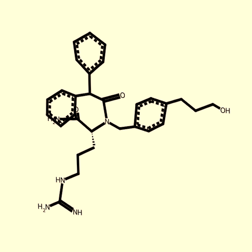 N=C(N)NCCC[C@H](C(N)=O)N(Cc1ccc(CCCO)cc1)C(=O)C(c1ccccc1)c1ccccc1